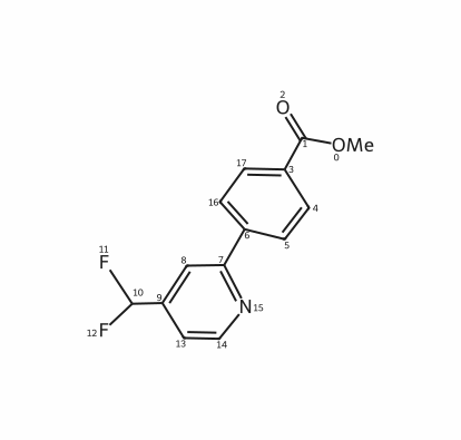 COC(=O)c1ccc(-c2cc(C(F)F)ccn2)cc1